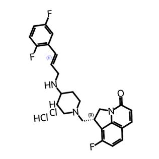 Cl.Cl.O=c1ccc2ccc(F)c3c2n1C[C@H]3CN1CCC(NC/C=C/c2cc(F)ccc2F)CC1